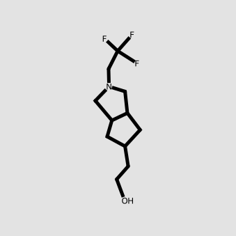 OCCC1CC2CN(CC(F)(F)F)CC2C1